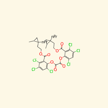 CCCC1(CCOC(=O)c2c(Cl)c(Cl)cc(Cl)c2OC(=O)C(=O)Oc2c(Cl)cc(Cl)c(Cl)c2C(=O)OCCC2(CCC)CC2C)CC1C